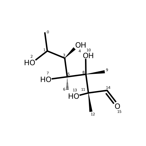 CC(O)[C@@H](O)[C@](C)(O)[C@](C)(O)[C@@](C)(O)C=O